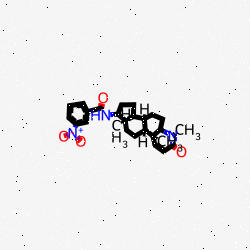 CN1C(=O)C=C[C@@]2(C)C1CC[C@@H]1[C@H]2CC[C@]2(C)C(NC(=O)c3cccc([N+](=O)[O-])c3)CC[C@@H]12